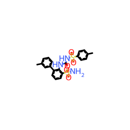 Cc1ccc(S(=O)(=O)NC(=O)Nc2c(-c3cccc(C)c3)cccc2S(N)(=O)=O)cc1